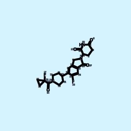 O=C1CCC(N2Cc3cc(C4CCN(C(=O)C5(F)CC5)CC4)c(F)cc3C2=O)C(=O)N1